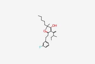 C=C(/C(C(=O)CCc1cccc(F)c1)=C(\O)C(C)(C)CCCCC)C(C)CC